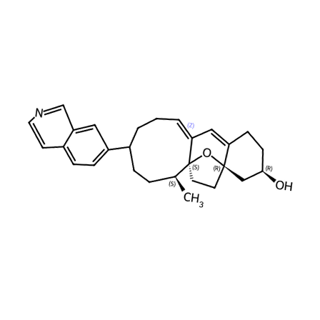 C[C@H]1CCC(c2ccc3ccncc3c2)CC/C=C2/C=C3CC[C@@H](O)C[C@]34CC[C@@]21O4